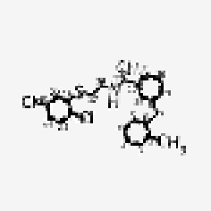 Cc1ccccc1Cc1cccc(C(C)NCCSc2cc(Cl)ccc2Cl)c1